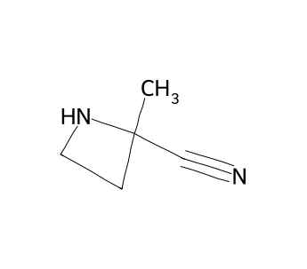 CC1(C#N)CCN1